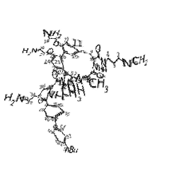 C=NCCCNC(=O)[C@@H]1Cc2ccc(OCCN)c(c2)-c2cc(ccc2OCCN)[C@H](N(C)C(=O)[C@H](CCCCN)NC(=O)c2ccc(-c3ccc(CCCC)cc3)cc2)C(=O)N[C@@H](C)C(=O)N1